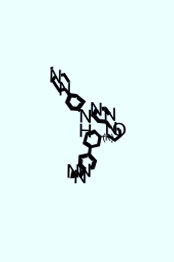 CN1CCN(c2ccc(Nc3cc(N4OCC[C@@H]4C4C=CC=C(c5ccn6ncnc6c5)C4)ncn3)cc2)CC1